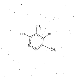 Cc1cnc(O)c(C)c1Br